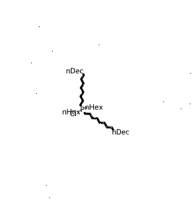 CCCCCCCCCCCCCCCCCC[P+](CCCCCC)(CCCCCC)CCCCCCCCCCCCCCCCCC.[Cl-]